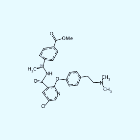 COC(=O)c1ccc([C@H](C)NC(=O)c2cc(Cl)cnc2Oc2ccc(CCN(C)C)cc2)cc1